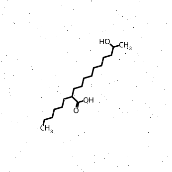 CCCCCCC(CCCCCCCCC(C)O)C(=O)O